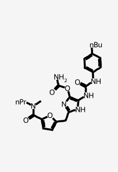 CCCCc1ccc(NC(=O)Nc2[nH]c(Cc3ccc(C(=O)N(C)CCC)o3)nc2OC(N)=O)cc1